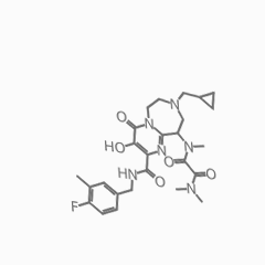 Cc1cc(CNC(=O)c2nc3n(c(=O)c2O)CCN(CC2CC2)CC3N(C)C(=O)C(=O)N(C)C)ccc1F